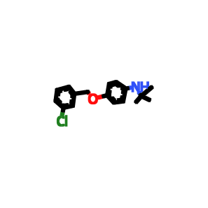 CC(C)(C)Nc1ccc(OCc2cccc(Cl)c2)cc1